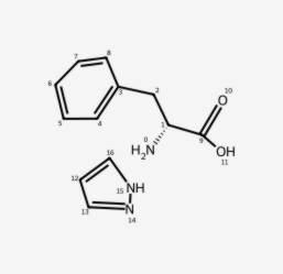 N[C@H](Cc1ccccc1)C(=O)O.c1cn[nH]c1